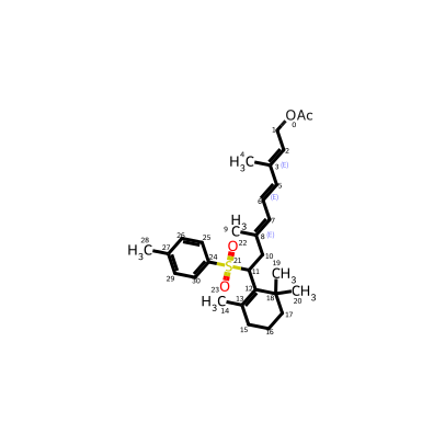 CC(=O)OC/C=C(C)/C=C/C=C(\C)CC(C1=C(C)CCCC1(C)C)S(=O)(=O)c1ccc(C)cc1